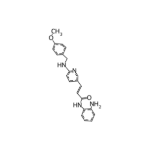 COc1ccc(CNc2ccc(C=CC(=O)Nc3ccccc3N)cn2)cc1